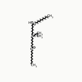 CCCCCCCCCCCOC(=O)CCCCCCCN(CCCCCCCC(O)OCCCCCCCCCCC)CCN(C)C